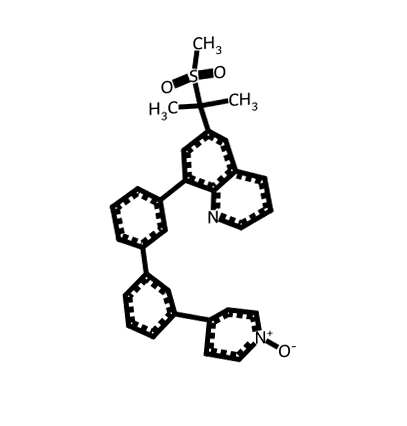 CC(C)(c1cc(-c2cccc(-c3cccc(-c4cc[n+]([O-])cc4)c3)c2)c2ncccc2c1)S(C)(=O)=O